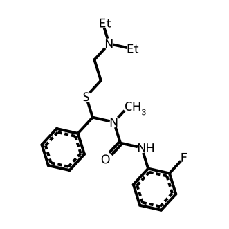 CCN(CC)CCSC(c1ccccc1)N(C)C(=O)Nc1ccccc1F